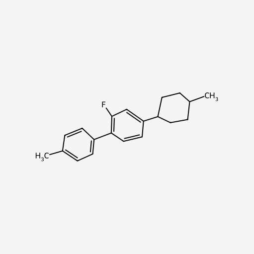 Cc1ccc(-c2ccc(C3CCC(C)CC3)cc2F)cc1